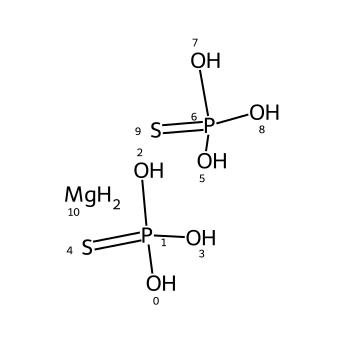 OP(O)(O)=S.OP(O)(O)=S.[MgH2]